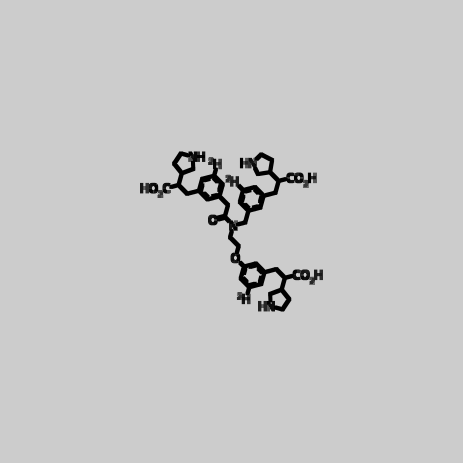 [2H]c1cc(CC(=O)N(CCOc2cc([2H])cc(CC(C(=O)O)C3CCNC3)c2)Cc2cc([2H])cc(CC(C(=O)O)C3CCNC3)c2)cc(CC(C(=O)O)C2CCNC2)c1